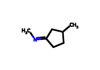 C/N=C1/CCC(C)C1